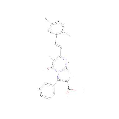 Cc1ccc(C)c(/C=C/c2nc3sc(C(=O)O)c(-c4ccccc4)n3c(=O)c2Cl)c1